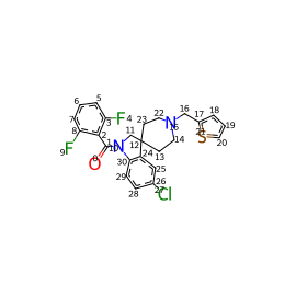 O=C(c1c(F)cccc1F)N1CC2(CCN(Cc3cccs3)CC2)c2cc(Cl)ccc21